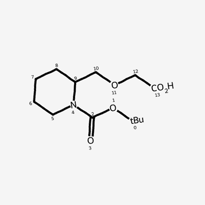 CC(C)(C)OC(=O)N1CCCCC1COCC(=O)O